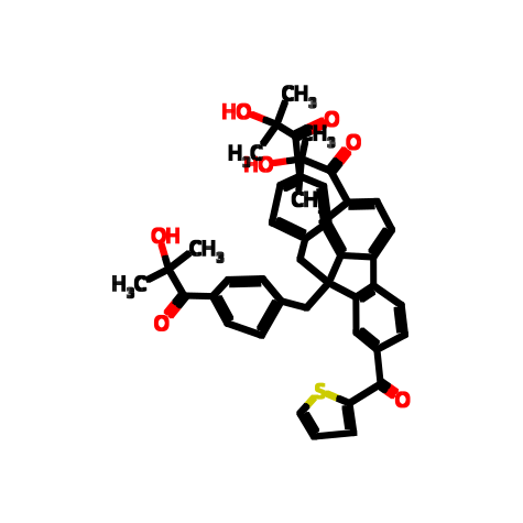 CC(C)(O)C(=O)c1ccc(CC2(Cc3ccc(C(=O)C(C)(C)O)cc3)c3cc(C(=O)c4cccs4)ccc3-c3ccc(C(=O)C(C)(C)O)cc32)cc1